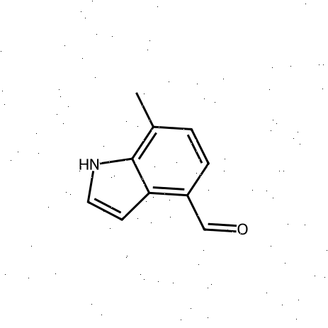 Cc1ccc(C=O)c2cc[nH]c12